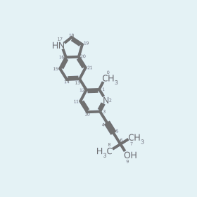 Cc1nc(C#CC(C)(C)O)ccc1-c1ccc2[nH]ccc2c1